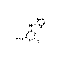 COc1cc(Nc2nccs2)nc(Cl)n1